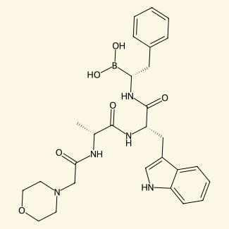 C[C@@H](NC(=O)CN1CCOCC1)C(=O)N[C@@H](Cc1c[nH]c2ccccc12)C(=O)N[C@@H](Cc1ccccc1)B(O)O